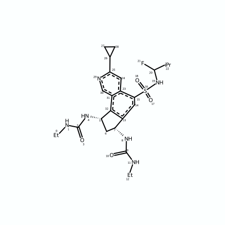 CCNC(=O)N[C@H]1C[C@@H](NC(=O)NCC)c2cc(S(=O)(=O)NC(F)C(C)C)c3cc(C4CC4)ncc3c21